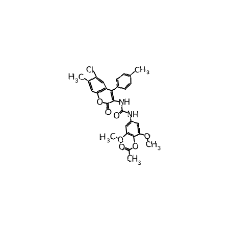 COc1cc(NC(=O)Nc2c(-c3ccc(C)cc3)c3cc(Cl)c(C)cc3oc2=O)cc(OC)c1OC(C)=O